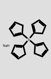 C1=CCC([Si](C2=CC=CC2)(C2=CC=CC2)C2=CC=CC2)=C1.[NaH]